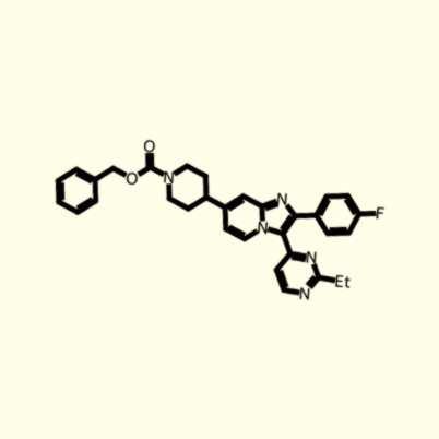 CCc1nccc(-c2c(-c3ccc(F)cc3)nc3cc(C4CCN(C(=O)OCc5ccccc5)CC4)ccn23)n1